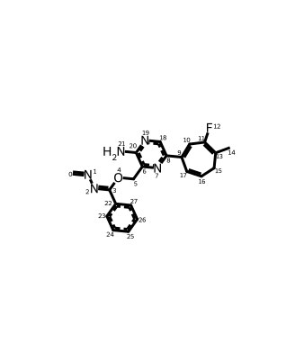 C=N/N=C(\OCc1nc(C2=CC(F)=C(C)CC=C2)cnc1N)c1ccccc1